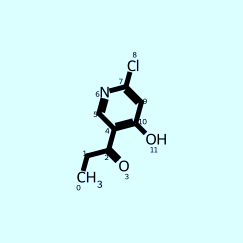 CCC(=O)c1cnc(Cl)cc1O